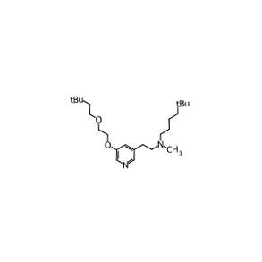 CN(CCCCC(C)(C)C)CCc1cncc(OCCOCCC(C)(C)C)c1